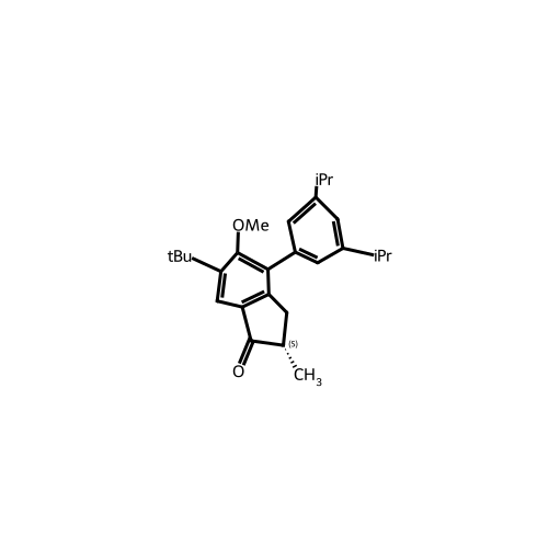 COc1c(C(C)(C)C)cc2c(c1-c1cc(C(C)C)cc(C(C)C)c1)C[C@H](C)C2=O